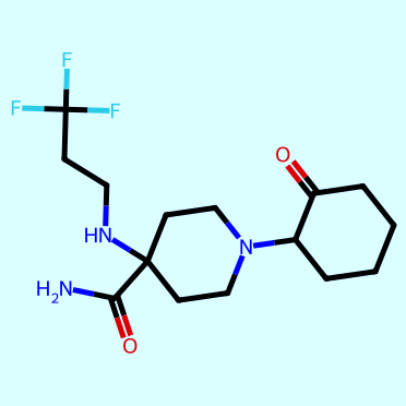 NC(=O)C1(NCCC(F)(F)F)CCN(C2CCCCC2=O)CC1